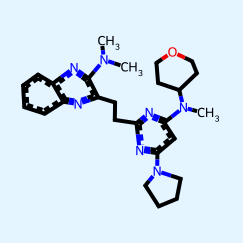 CN(C)c1nc2ccccc2nc1CCc1nc(N2CCCC2)cc(N(C)C2CCOCC2)n1